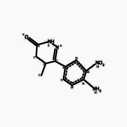 CC1CC(=O)NN=C1c1ccc(N)c([N+](=O)[O-])c1